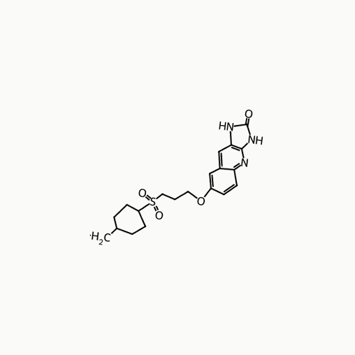 [CH2]C1CCC(S(=O)(=O)CCCOc2ccc3nc4[nH]c(=O)[nH]c4cc3c2)CC1